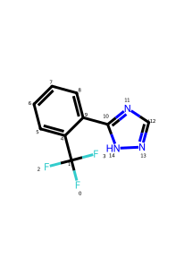 FC(F)(F)c1ccccc1-c1n[c]n[nH]1